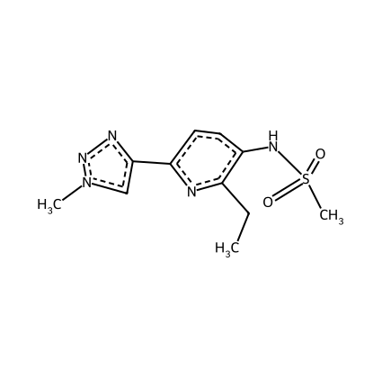 CCc1nc(-c2cn(C)nn2)ccc1NS(C)(=O)=O